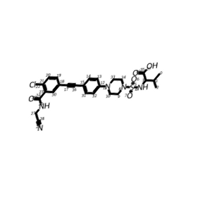 CC(C)C(NS(=O)(=O)N1CCN(c2ccc(C#Cc3ccc(Cl)c(C(=O)NCC#N)c3)cc2)CC1)C(=O)O